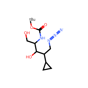 CC(C)(C)OC(=O)NC(CO)C(O)C(CN=[N+]=[N-])C1CC1